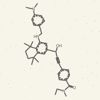 CCN(C)C(=O)c1ccc(C#CC(O)c2cc(NCc3ccc(N(C)C)cc3)c3c(c2)C(C)(C)CCC3(C)C)cc1